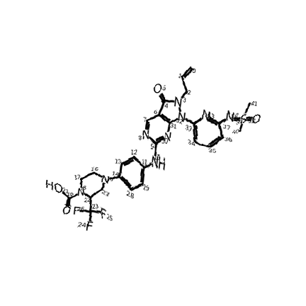 C=CCn1c(=O)c2cnc(Nc3ccc(N4CCN(C(=O)O)C(C(F)(F)F)C4)cc3)nc2n1-c1cccc(N=S(C)(C)=O)n1